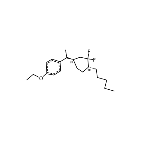 CCCCC[C@@H]1CC[C@@H](C(C)c2ccc(OCC)cc2)CC1(F)F